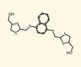 OCC1CSC(CSc2ccc(SCC3SCC(CO)S3)c3ccccc23)S1